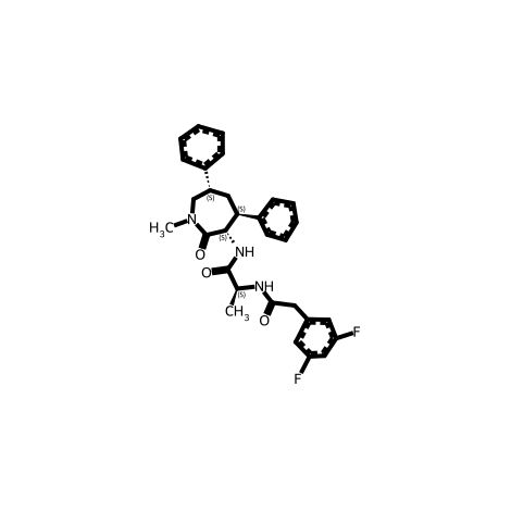 C[C@H](NC(=O)Cc1cc(F)cc(F)c1)C(=O)N[C@@H]1C(=O)N(C)C[C@H](c2ccccc2)C[C@H]1c1ccccc1